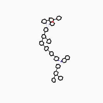 c1ccc(-c2ccc(-c3ccccc3N(c3ccccc3)c3ccc(-c4ccc(-c5cccc(-c6ccc(-c7ccc(-c8ccc(N(c9ccc(-c%10ccc(-c%11ccccc%11)c(-c%11ccccc%11)c%10)cc9)c9ccc%10ccccc%10c9)cc8)cc7)cc6)c5)c(-c5ccccc5)c4)cc3)cc2)cc1